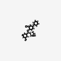 Fc1cncc([C@@H](Oc2ccc(-c3ccccc3)cc2Cl)[C@@H]2CCNC2)c1